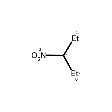 C[CH]C(CC)[N+](=O)[O-]